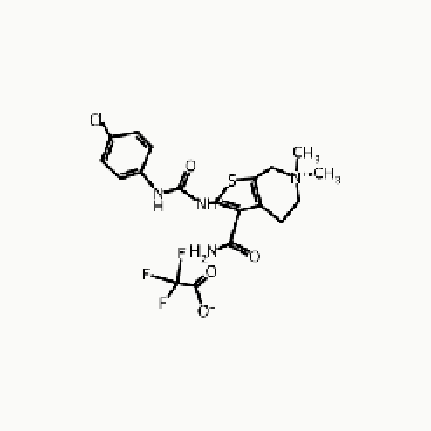 C[N+]1(C)CCc2c(sc(NC(=O)Nc3ccc(Cl)cc3)c2C(N)=O)C1.O=C([O-])C(F)(F)F